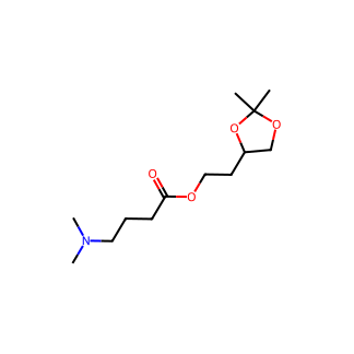 CN(C)CCCC(=O)OCCC1COC(C)(C)O1